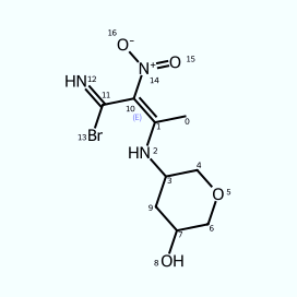 C/C(NC1COCC(O)C1)=C(/C(=N)Br)[N+](=O)[O-]